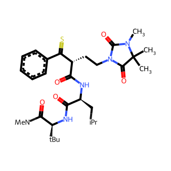 CNC(=O)[C@@H](NC(=O)[C@H](CC(C)C)NC(=O)[C@@H](CCN1C(=O)N(C)C(C)(C)C1=O)C(=S)c1ccccc1)C(C)(C)C